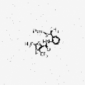 CCCC(C)SC(C)c1ccccc1NC(=O)C1=C(C(F)(F)F)NC(C)S1